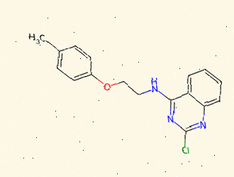 Cc1ccc(OCCNc2nc(Cl)nc3ccccc23)cc1